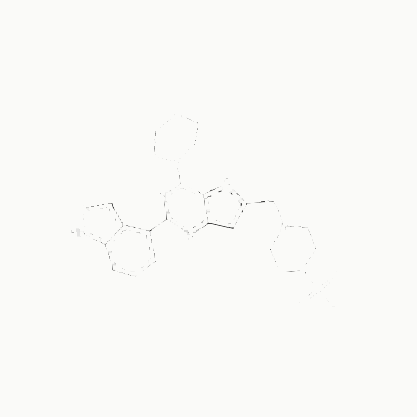 CCS(=O)(=O)N1CCN(Cc2cc3nc(-c4cccc5[nH]ncc45)nc(N4CCOCC4)c3s2)CC1